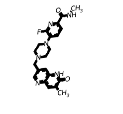 CNC(=O)c1ccc(N2CCN(Cc3cnc4cc(C)c(=O)[nH]c4c3)CC2)c(F)n1